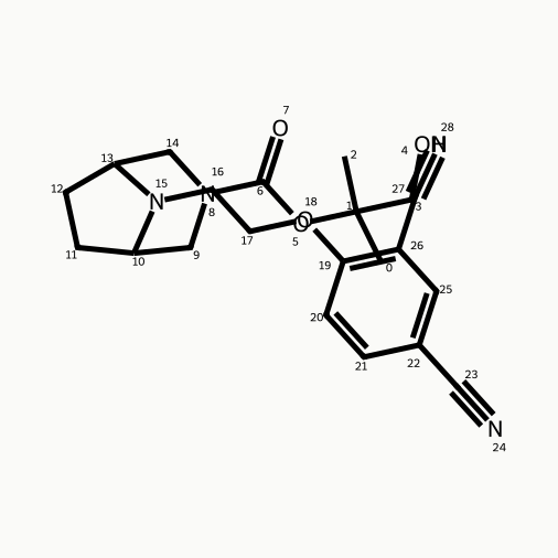 CC(C)(CO)OC(=O)N1CC2CCC(C1)N2CCOc1ccc(C#N)cc1C#N